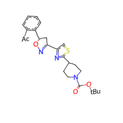 CC(=O)c1ccccc1C1CC(c2csc(C3CCN(C(=O)OC(C)(C)C)CC3)n2)=NO1